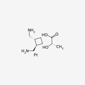 C[C@H](O)C(=O)O.NC[C@@H]1CC[C@H]1CN.[Pt]